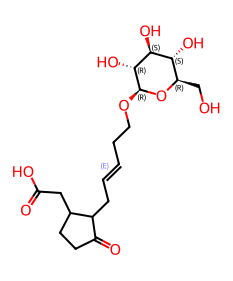 O=C(O)CC1CCC(=O)C1C/C=C/CCO[C@@H]1O[C@H](CO)[C@@H](O)[C@H](O)[C@H]1O